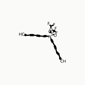 C#CC#CC#CC#CN(C#CC#CC#CC#C)S(=O)(=O)C(F)(F)OC(F)F